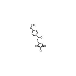 COc1ccc(C(=O)Cc2c[nH]c(=O)[nH]2)cc1